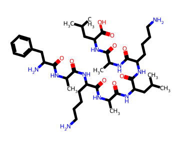 CC(C)CC(NC(=O)C(C)NC(=O)C(CCCCN)NC(=O)C(CC(C)C)NC(=O)C(C)NC(=O)C(CCCCN)NC(=O)C(C)NC(=O)C(N)Cc1ccccc1)C(=O)O